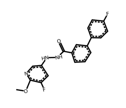 COc1ncc(NNC(=O)c2cccc(-c3ccc(F)cc3)c2)cc1F